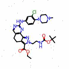 CCOC(=O)c1c2c(nn1CCNC(=O)OC(C)(C)C)-c1nc(Nc3ccc(N4CCN(C)CC4)c(Cl)c3)ncc1CC2